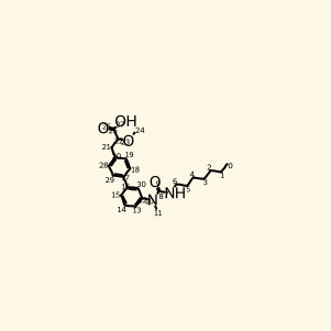 CCCCCCCNC(=O)N(C)c1cccc(-c2ccc(CC(OC)C(=O)O)cc2)c1